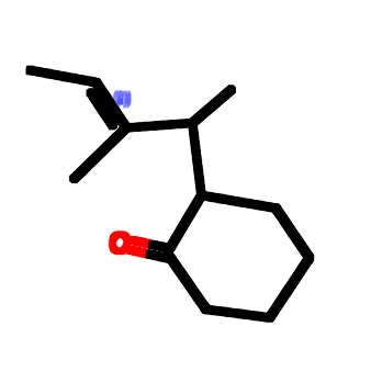 C/C=C(\C)C(C)C1CCCCC1=O